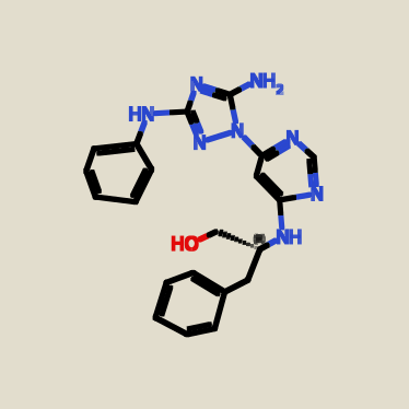 Nc1nc(Nc2ccccc2)nn1-c1cc(N[C@@H](CO)Cc2ccccc2)ncn1